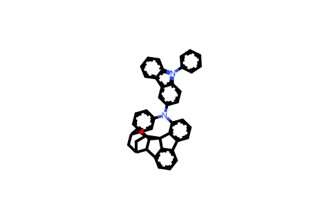 c1ccc(N(c2ccc3c(c2)c2ccccc2n3-c2ccccc2)c2cccc3c2C24c5c-3cccc5C3C5CC(CC2C5)CC34)cc1